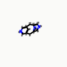 c1ncc2cc1Cc1cncc(n1)C2